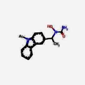 CC(=O)n1c2ccccc2c2cc(C(C)N(O)C(N)=O)ccc21